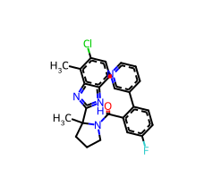 Cc1c(Cl)ccc2[nH]c(C3(C)CCCN3C(=O)c3cc(F)ccc3-c3cccnc3)nc12